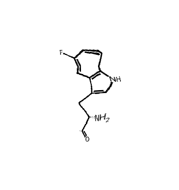 N[C@H]([C]=O)Cc1c[nH]c2ccc(F)cc12